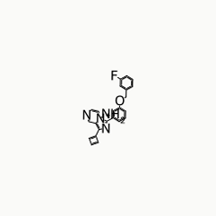 N[N+]12C=CN=CC1=C(C1=CC=C1)N=C2c1cccc(OCc2cccc(F)c2)c1